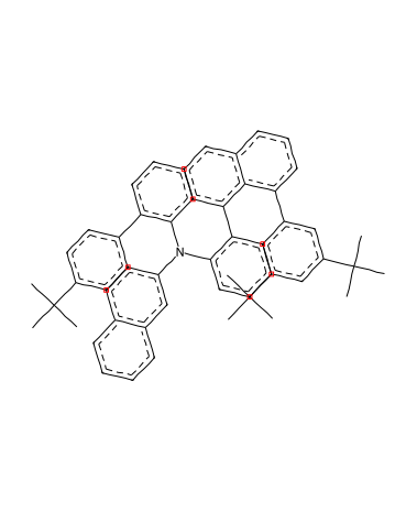 CC(C)(C)c1ccc(-c2ccccc2N(c2ccc3ccccc3c2)c2ccccc2-c2cccc3cccc(-c4cc(C(C)(C)C)cc(C(C)(C)C)c4)c23)cc1